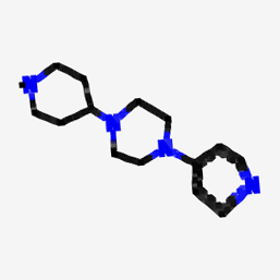 c1cc(N2CCN(C3CC[N]CC3)CC2)ccn1